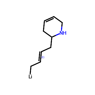 [Li][CH2]/C=C/CC1CC=CCN1